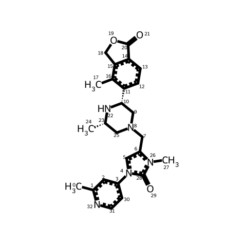 Cc1cc(-n2cc(CN3C[C@@H](c4ccc5c(c4C)COC5=O)N[C@@H](C)C3)n(C)c2=O)ccn1